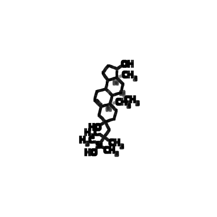 C[C@H]1C[C@]2(C)C(O)CCC2C2CC=C3CC(O)(CC(C)(C)[Si](C)(C)O)CC[C@]3(C)C21